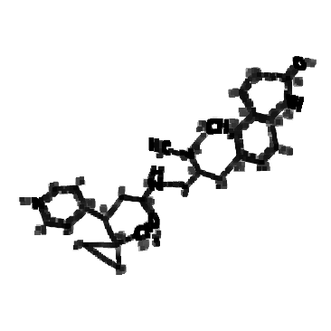 CN(C)C(CNC(=O)CC(c1ccncc1)C1(C(F)(F)F)CC1)Cc1ccc2[nH]c(=O)ccc2c1